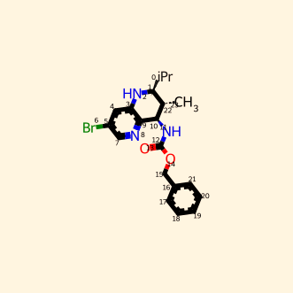 CC(C)[C@@H]1Nc2cc(Br)cnc2[C@H](NC(=O)OCc2ccccc2)[C@H]1C